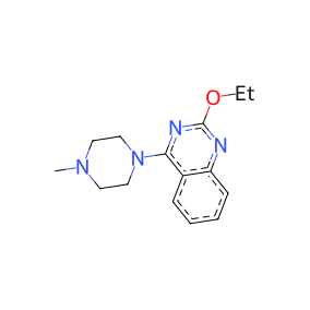 CCOc1nc(N2CCN(C)CC2)c2ccccc2n1